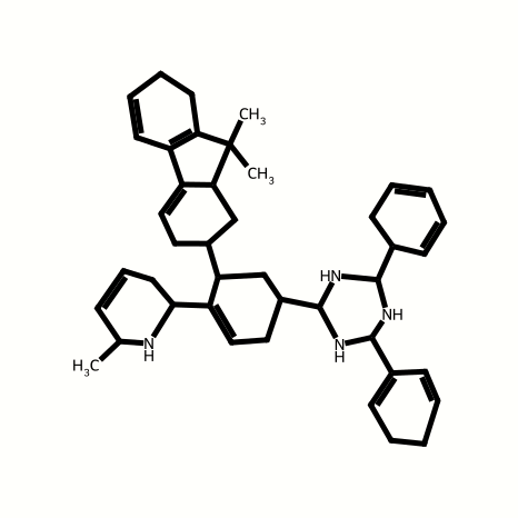 CC1C=CCC(C2=CCC(C3NC(C4=CCCC=C4)NC(C4C=CC=CC4)N3)CC2C2CC=C3C4=C(CCC=C4)C(C)(C)C3C2)N1